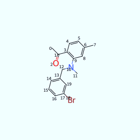 CC(=O)c1ccc(C)cc1N(C)Cc1cccc(Br)c1